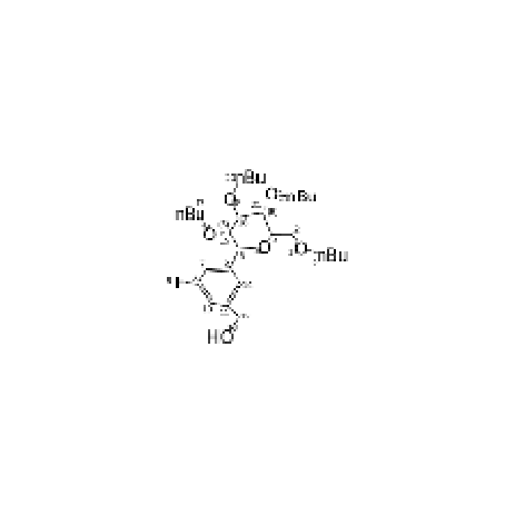 CCCCOCC1OC(c2cc(F)cc(CO)c2)[C@H](OCCCC)C(OCCCC)[C@@H]1OCCCC